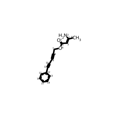 CC(N)=CC(=O)OCC#CC#Cc1ccccc1